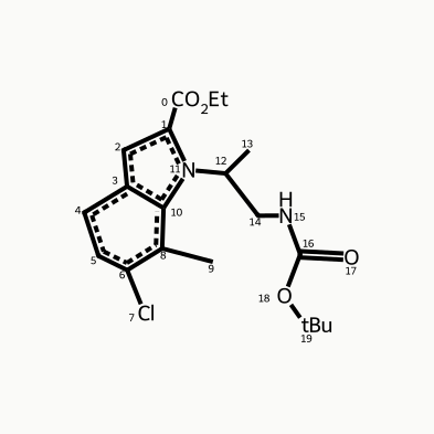 CCOC(=O)c1cc2ccc(Cl)c(C)c2n1C(C)CNC(=O)OC(C)(C)C